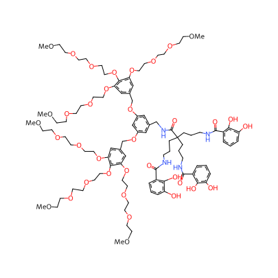 COCCOCCOCCOc1cc(COc2cc(CNC(=O)C(CCCNC(=O)c3cccc(O)c3O)(CCCNC(=O)c3cccc(O)c3O)CCCNC(=O)c3cccc(O)c3O)cc(OCc3cc(OCCOCCOCCOC)c(OCCOCCOCCOC)c(OCCOCCOCCOC)c3)c2)cc(OCCOCCOCCOC)c1OCCOCCOCCOC